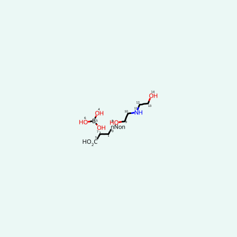 CCCCCCCCCCCC(=O)O.OB(O)O.OCCNCCO